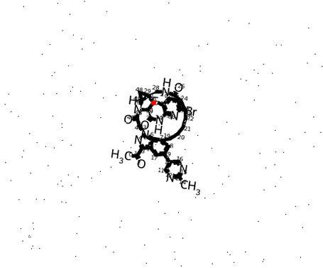 CC(=O)c1nn2c3c(cc(-c4cnc(C)nc4)cc13)CCCCCCC(=O)NC[C@@]13C[C@@H](C(=O)Nc4nc(Br)ccc4F)N(C(=O)C2)[C@@H]1C3